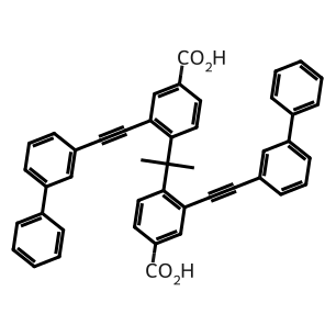 CC(C)(c1ccc(C(=O)O)cc1C#Cc1cccc(-c2ccccc2)c1)c1ccc(C(=O)O)cc1C#Cc1cccc(-c2ccccc2)c1